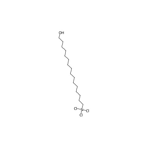 OCCCCCCCCCCCCCCCC[Si](Cl)(Cl)Cl